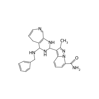 Cc1nn2c(C(N)=O)cccc2c1C1NC2=C(CC=CN=C2)C(NCc2ccccc2)N1